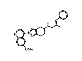 COc1ccc2nccc(-n3cc4c(n3)CCC(NCC(C)=Cc3ccccc3)C4)c2c1